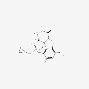 COc1cc(Br)c2c3c1OC1C(=O)[C@@H](C)[C@H](C)[C@H]4[C@@H](C2)N(CC2CC2)CC[C@]314